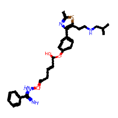 Cc1nc(-c2ccc(OC(O)CCCCONC(=N)c3ccccc3)cc2)c(CCNCC(C)C)s1